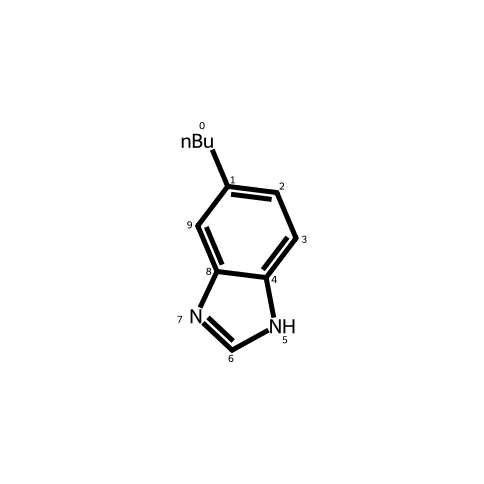 CCCCc1ccc2[nH]cnc2c1